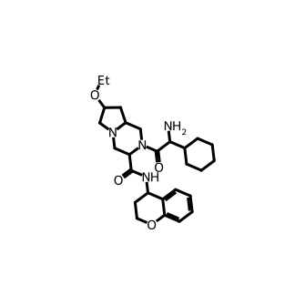 CCOC1CC2CN(C(=O)C(N)C3CCCCC3)C(C(=O)NC3CCOc4ccccc43)CN2C1